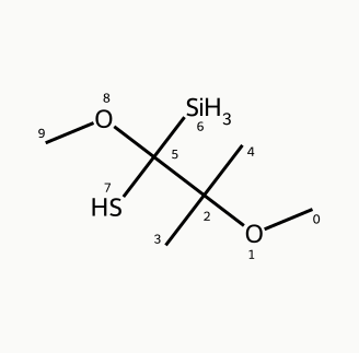 COC(C)(C)C([SiH3])(S)OC